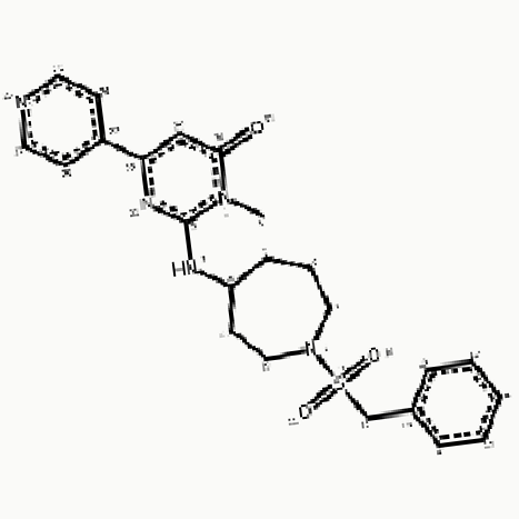 Cn1c(NC2CCCN(S(=O)(=O)Cc3ccccc3)CC2)nc(-c2ccncc2)cc1=O